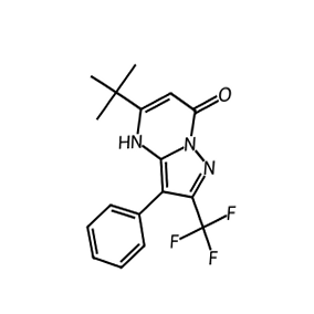 CC(C)(C)c1cc(=O)n2nc(C(F)(F)F)c(-c3ccccc3)c2[nH]1